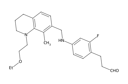 CCOCCN1CCCc2ccc(CNc3ccc(CCC=O)c(F)c3)c(C)c21